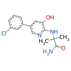 CC(C)(Nc1ncc(-c2cccc(Cl)c2)cc1O)C(N)=O